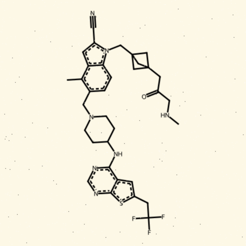 CNCC(=O)CC12CC(Cn3c(C#N)cc4c(C)c(CN5CCC(Nc6ncnc7sc(CC(F)(F)F)cc67)CC5)ccc43)(C1)C2